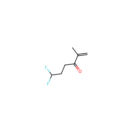 C=C(C)C(=O)CCC(F)F